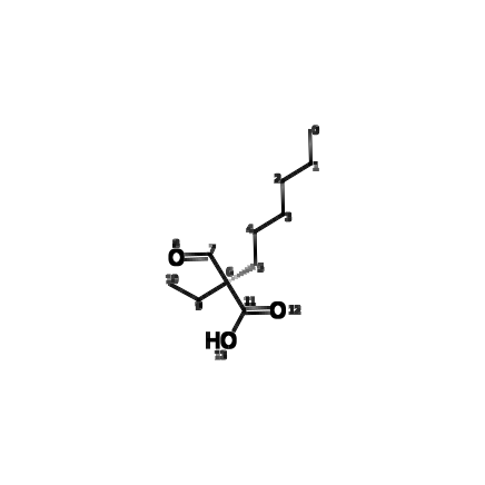 CCCCCC[C@@](C=O)(CC)C(=O)O